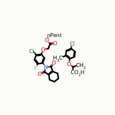 CCCCCOC(=O)COc1cc(N2C(=O)C3=C(CCCC3)C2=O)c(F)cc1Cl.Cc1cc(Cl)ccc1OC(C)C(=O)O